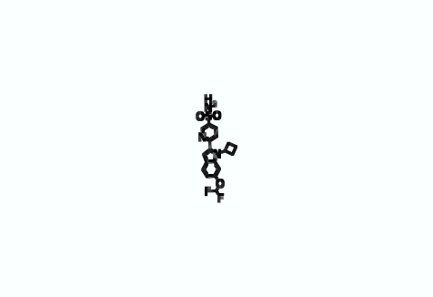 NS(=O)(=O)c1ccc(-c2cc3ccc(OC(F)F)cc3n2C2CCC2)nc1